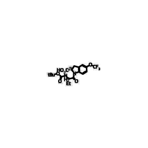 CC[C@H](NC(=O)OC(C)(C)C)C(=O)N1c2ccc(OC(F)(F)F)cc2C[C@H]1C(=O)O